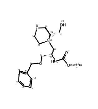 CC(C)(C)OC(=O)N[C@H](COCc1ccccc1)CN1CCOC[C@@H]1CO